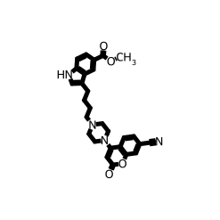 COC(=O)c1ccc2[nH]cc(CCCCN3CCN(c4cc(=O)oc5cc(C#N)ccc45)CC3)c2c1